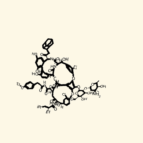 CCOc1ccc(CC(=O)NC(=O)C[C@@H]2CC(=O)[C@H](NC(=O)[C@H](CC)CC(C)C)[C@H](O)c3ccc(c(Cl)c3)Oc3cc4cc(c3O[C@@H]3O[C@H](CO)[C@@H](O)[C@H](O)[C@H]3O[C@H]3C[C@](C)(N)[C@H](O)[C@H](C)O3)Oc3ccc(cc3Cl)[C@@H](O)[C@@H]3NC(=O)[C@H](CC(=O)[C@@H]4NC2=O)c2ccc(O)c(c2)-c2c(O)cc(O)cc2[C@@H](C(=O)CC2C4CC5CC(C4)CC2C5)NC3=O)cc1